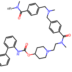 CCCN(C)C(=O)c1ccc(CN(C)Cc2ccc(C(=O)N(C)CCN3CCC(OC(=O)Nc4ccccc4-c4ccccc4)CC3)cc2)cc1